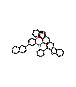 c1ccc(-c2ccc(-c3ccc4ccccc4c3)cc2N(c2ccccc2-c2cccc3c2sc2ccccc23)c2cccc3sc4ccccc4c23)cc1